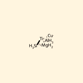 [AlH3].[Cu].[MgH2].[SiH3][Ti]